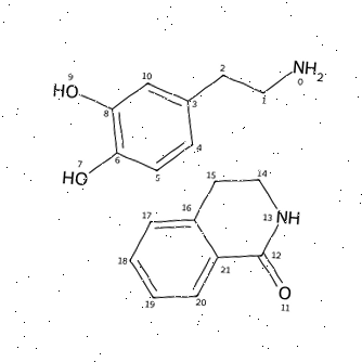 NCCc1ccc(O)c(O)c1.O=C1NCCc2ccccc21